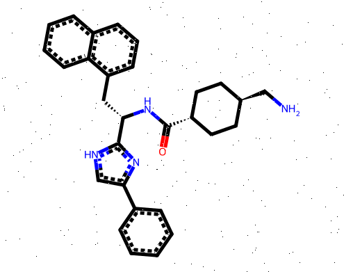 NC[C@H]1CC[C@H](C(=O)N[C@@H](Cc2cccc3ccccc23)c2nc(-c3ccccc3)c[nH]2)CC1